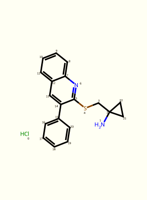 Cl.NC1(CSc2nc3ccccc3cc2-c2ccccc2)CC1